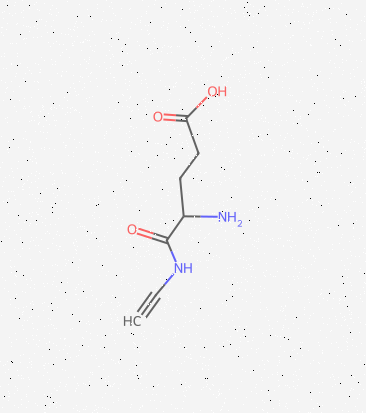 C#CNC(=O)C(N)CCC(=O)O